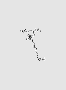 CC1CC(C)O[Si](O)(CCC/N=C/CCCC=O)O1